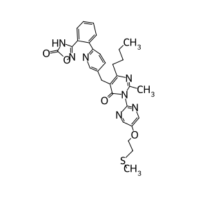 CCCCc1nc(C)n(-c2ncc(OCCSC)cn2)c(=O)c1Cc1ccc(-c2ccccc2-c2noc(=O)[nH]2)nc1